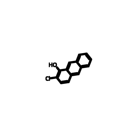 Oc1c(Cl)ccc2cc3ccccc3cc12